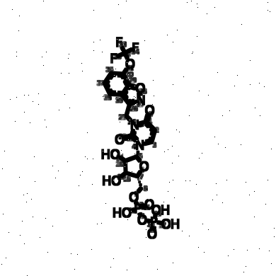 O=c1ccn([C@@H]2O[C@H](COP(=O)(O)OP(=O)(O)O)C(O)C2O)c(=O)n1Cc1noc2c(OC(F)(F)F)cccc12